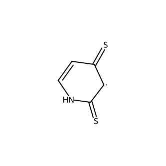 S=C1[CH]C(=S)NC=C1